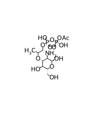 CC(=O)OP(=O)(O)OP(=O)(O)OCC(C)O[C@@H]1[C@@H](N)[C@@H](O)O[C@H](CO)[C@H]1O